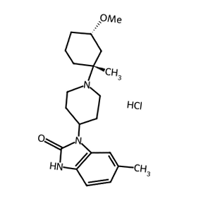 CO[C@H]1CCC[C@@](C)(N2CCC(n3c(=O)[nH]c4ccc(C)cc43)CC2)C1.Cl